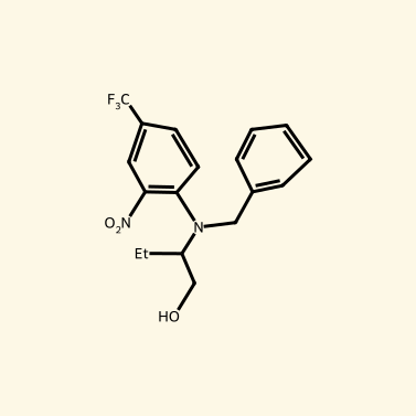 CCC(CO)N(Cc1ccccc1)c1ccc(C(F)(F)F)cc1[N+](=O)[O-]